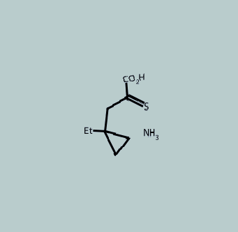 CCC1(CC(=S)C(=O)O)CC1.N